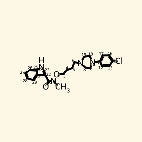 CN(OCCCCN1CCN(c2ccc(Cl)cc2)CC1)C(=O)c1c[nH]c2ccccc12